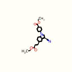 CCOC(=O)/C=C/c1ccc2c(c1)c(C#N)cn2-c1ccc(C(=O)OCC)cc1